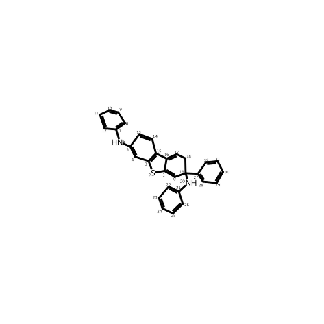 C1=c2sc3cc(Nc4ccccc4)ccc3c2=CCC1(Nc1ccccc1)c1ccccc1